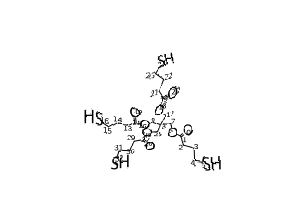 O=C(CCCS)OCC(COC(=O)CCCS)(COC(=O)CCCS)COC(=O)CCCS